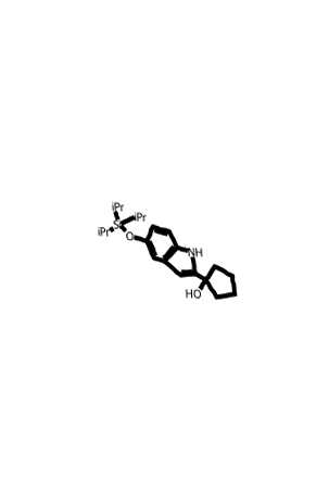 CC(C)[Si](Oc1ccc2[nH]c(C3(O)CCCC3)cc2c1)(C(C)C)C(C)C